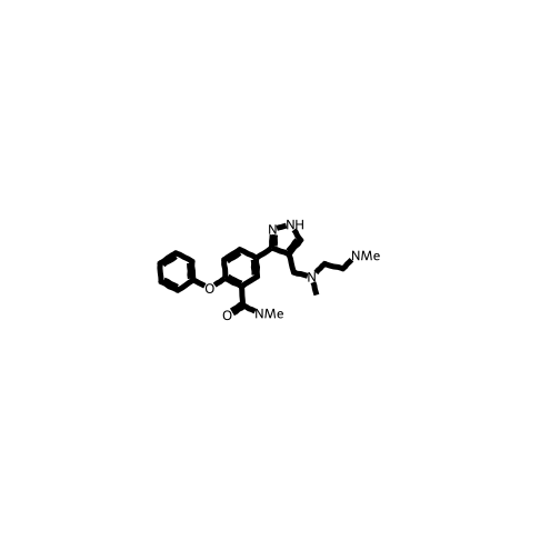 CNCCN(C)Cc1c[nH]nc1-c1ccc(Oc2ccccc2)c(C(=O)NC)c1